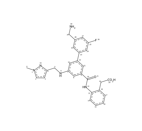 Cn1ccc(CNc2cc(C(=O)Nc3ccccc3CC(=O)O)cc(-c3cc(F)cc(CN)c3)c2)n1